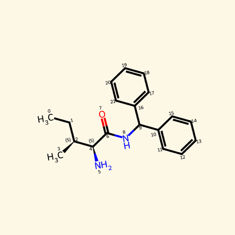 CC[C@H](C)[C@H](N)C(=O)NC(c1ccccc1)c1ccccc1